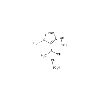 CC(O)c1nccn1C.O=S(=O)(O)O.O=S(=O)(O)O